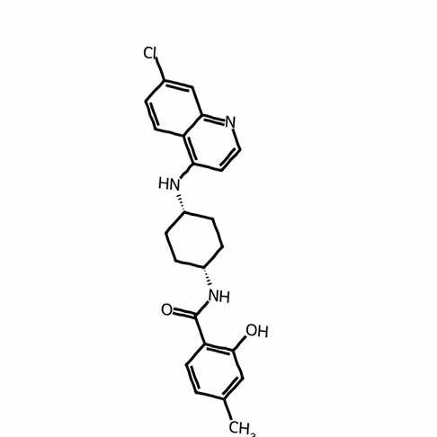 Cc1ccc(C(=O)N[C@H]2CC[C@@H](Nc3ccnc4cc(Cl)ccc34)CC2)c(O)c1